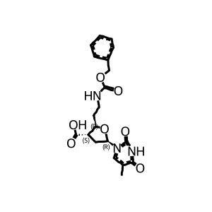 Cc1cn([C@H]2C[C@H](C(=O)O)[C@@H](CCNC(=O)OCc3ccccc3)O2)c(=O)[nH]c1=O